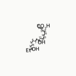 CC[C@H](O)/C=C/C=C\C=C\[C@H](O)C/C=C\C/C=C\CCCC(=O)O